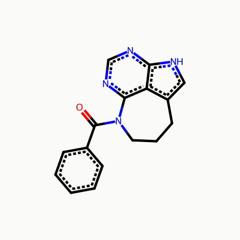 O=C(c1ccccc1)N1CCCc2c[nH]c3ncnc1c23